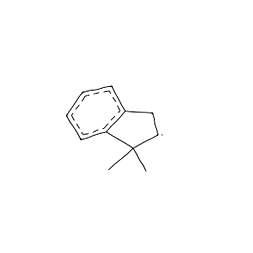 CC1(C)[CH]Cc2ccccc21